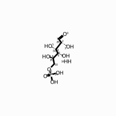 O=C[C@H](O)[C@@H](O)[C@H](O)[C@H](O)COP(=O)(O)O.[HH]